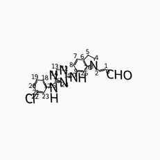 O=CC=CN1CCc2ccc(Nc3ncnc(Nc4cccc(Cl)c4)n3)cc21